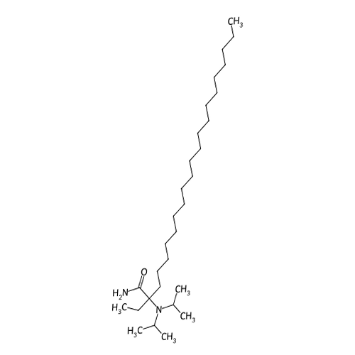 CCCCCCCCCCCCCCCCCCCCC(CC)(C(N)=O)N(C(C)C)C(C)C